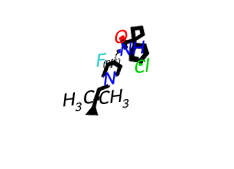 CC(C)(CCN1CC[C@@H](CNC(=O)C2(c3ccc(Cl)cc3)CCC2)[C@@H](F)C1)C1CC1